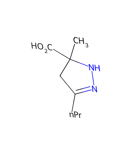 CCCC1=NNC(C)(C(=O)O)C1